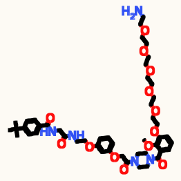 COc1c(OCCOCCOCCOCCOCCOCCN)cccc1C(=O)N1CCN(C(=O)COc2cccc(OCCNC(=O)CNC(=O)c3ccc(C(C)(C)C)cc3)c2)CC1